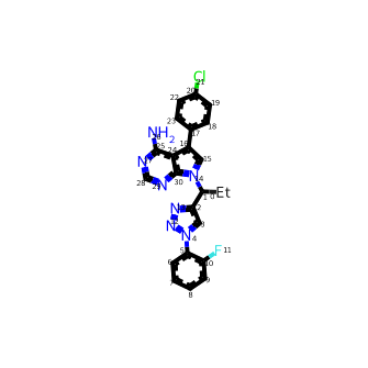 CCC(c1cn(-c2ccccc2F)nn1)n1cc(-c2ccc(Cl)cc2)c2c(N)ncnc21